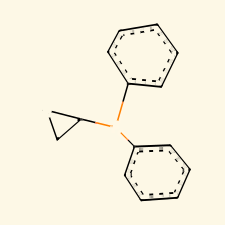 c1ccc(P(c2ccccc2)[CH]2[CH2][Os]2)cc1